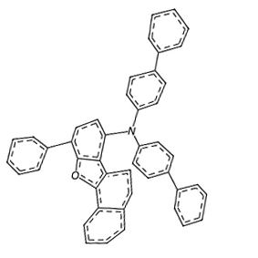 c1ccc(-c2ccc(N(c3ccc(-c4ccccc4)cc3)c3ccc(-c4ccccc4)c4oc5c6ccccc6ccc5c34)cc2)cc1